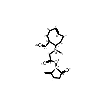 C=C1CCC(=O)N1OC(=O)CN(C)C1CC/C=C/CCC1C=O